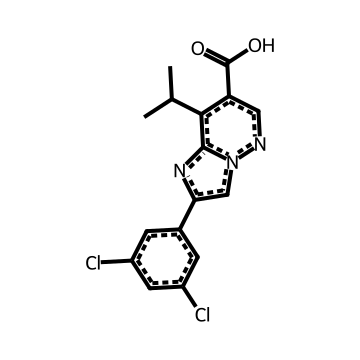 CC(C)c1c(C(=O)O)cnn2cc(-c3cc(Cl)cc(Cl)c3)nc12